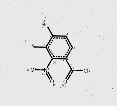 Cc1c(Br)ccc(C(=O)Cl)c1[N+](=O)[O-]